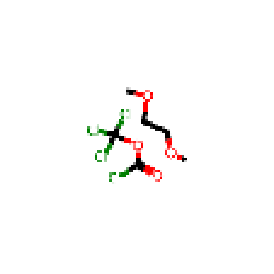 COCCOC.O=C(Cl)OC(Cl)(Cl)Cl